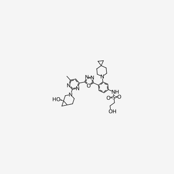 Cc1cc(-c2nnc(-c3ccc(NS(=O)(=O)CCO)cc3N3CCC4(CC3)CC4)o2)nc(N2CCC3C[C@]3(O)C2)n1